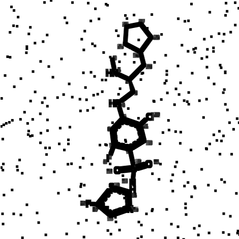 CN[C@H](CNc1cc(F)c(S(=O)(=O)Nc2ncc(F)s2)cc1Cl)CC1CCCC1